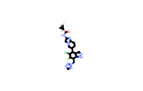 O=C(Nc1cn2cc(-c3c(Cl)c(F)c(Cn4ncnn4)c4[nH]ncc34)ccc2n1)[C@@H]1C[C@@H]1F